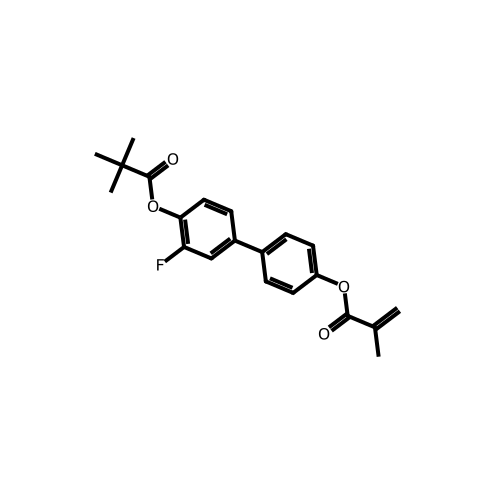 C=C(C)C(=O)Oc1ccc(-c2ccc(OC(=O)C(C)(C)C)c(F)c2)cc1